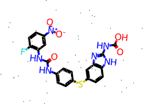 O=C(O)Nc1nc2cc(Sc3ccc(NC(=O)Nc4cc([N+](=O)[O-])ccc4F)cc3)ccc2[nH]1